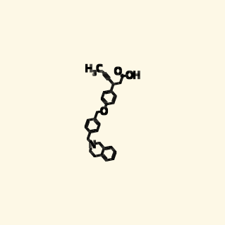 CC#CC(CC(=O)O)c1ccc(OCc2ccc(CN3CCc4ccccc4C3)cc2)cc1